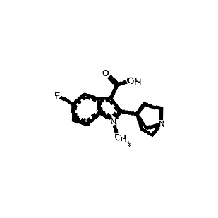 Cn1c(C23CCN(CC2)C3)c(C(=O)O)c2cc(F)ccc21